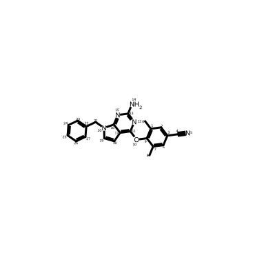 Cc1cc(C#N)cc(C)c1Oc1nc(N)nc2c1ccn2Cc1ccccc1